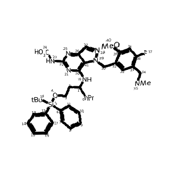 CCCC(CCO[Si](c1ccccc1)(c1ccccc1)C(C)(C)C)Nc1nc(NC(=O)O)nc2cnn(Cc3cc(CNC)c(F)cc3OC)c12